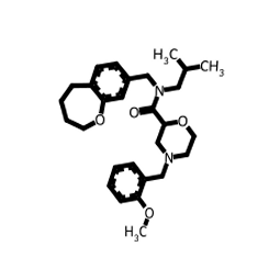 COc1ccccc1CN1CCOC(C(=O)N(Cc2ccc3c(c2)OCCCC3)CC(C)C)C1